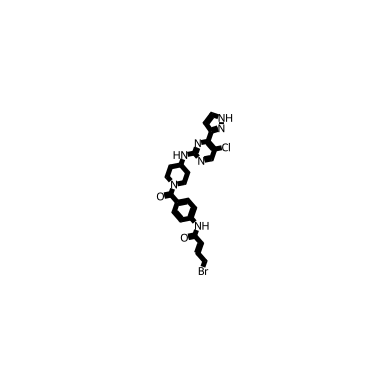 O=C(/C=C/CBr)Nc1ccc(C(=O)N2CCC(Nc3ncc(Cl)c(-c4cc[nH]n4)n3)CC2)cc1